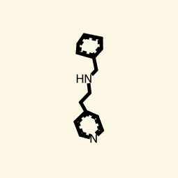 c1ccc(CNCCc2ccncc2)cc1